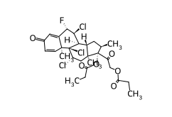 CCC(=O)OCC(=O)[C@]1(OC(=O)CC)[C@H](C)C[C@H]2[C@@H]3[C@H](Cl)[C@@H](F)C4=CC(=O)C=C[C@]4(C)[C@@]3(Cl)[C@@H](Cl)C[C@@]21C